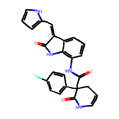 O=C1Nc2c(NC(=O)C3(c4ccc(F)cc4)CC=CNC3=O)cccc2/C1=C/c1ccc[nH]1